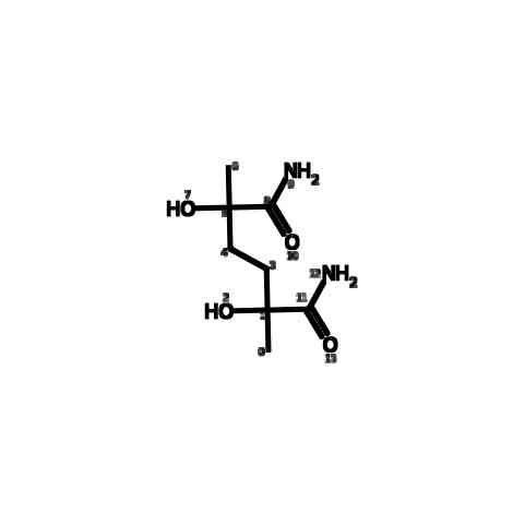 CC(O)(CCC(C)(O)C(N)=O)C(N)=O